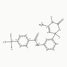 CN1C(=O)CC(C)(c2cc(NC(=O)c3ccc(C(F)(F)F)cn3)ccn2)N=C1N